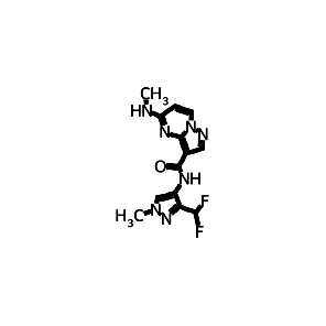 CNc1ccn2ncc(C(=O)Nc3cn(C)nc3C(F)F)c2n1